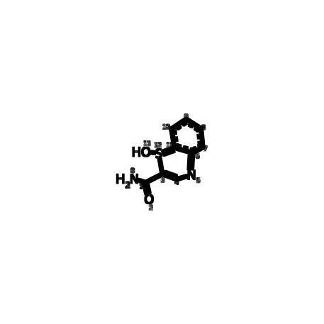 NC(=O)C1=CN=c2ccccc2=S1O